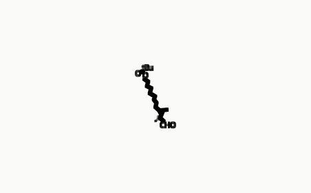 CC1C(CCCCCCCCCOC(=O)C(C)(C)C)C1[C@@H](C)CC=O